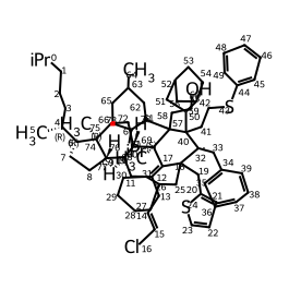 CC(C)CCC[C@@H](C)[C@H]1CC[C@H]2[C@@H]3CC(CC=CCl)=C4C(Cc5cccs5)(CC5CCCCC5)[C](Cc5ccccc5)C(CCSc5ccccc5)(C5CC6CCC5C6)C(CCO)(C5CC(C)CCC5C(C)C)[C@]4(C)[C@H]3CC[C@]12C